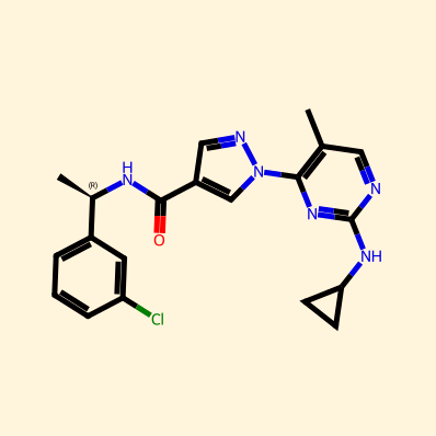 Cc1cnc(NC2CC2)nc1-n1cc(C(=O)N[C@H](C)c2cccc(Cl)c2)cn1